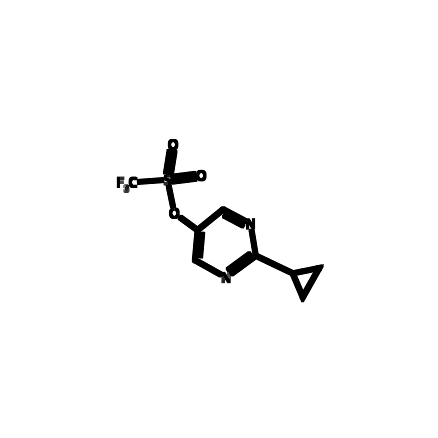 O=S(=O)(Oc1cnc(C2CC2)nc1)C(F)(F)F